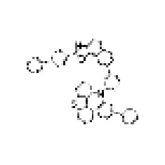 C1=CCCC(c2cccc(N(c3cccc(-c4ccc5ccc6nc(-c7ccc(-c8ccccc8)cc7)oc6c5c4)c3)C3CC=CC4=C3C3C=CC=CC3S4)c2)=C1